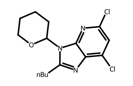 CCCCc1nc2c(Cl)cc(Cl)nc2n1C1CCCCO1